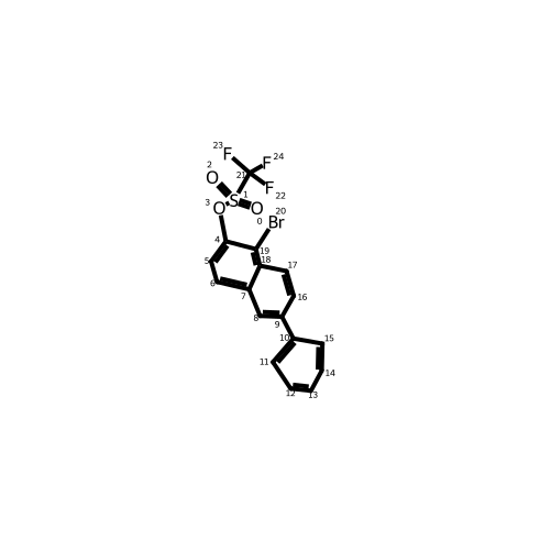 O=S(=O)(Oc1ccc2cc(-c3ccccc3)ccc2c1Br)C(F)(F)F